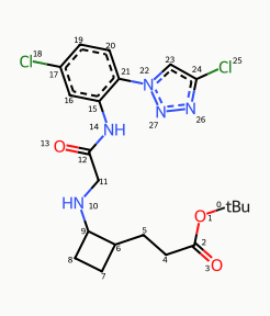 CC(C)(C)OC(=O)CCC1CCC1NCC(=O)Nc1cc(Cl)ccc1-n1cc(Cl)nn1